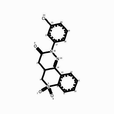 O=C1CC2CS(=O)(=O)c3ccccc3C2=NN1c1cccc(Cl)c1